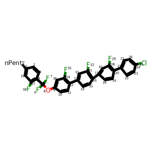 CCCCCc1ccc(C(F)(F)Oc2ccc(-c3ccc(-c4ccc(-c5ccc(Cl)cc5)c(F)c4)c(F)c3)c(F)c2)c(F)c1